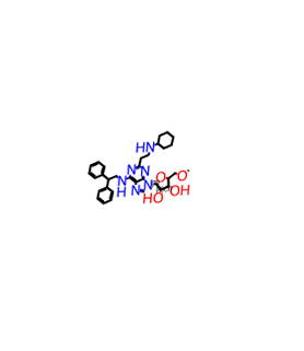 COCC1O[C@@H](n2cnc3c(NCC(c4ccccc4)c4ccccc4)nc(CCNC4CCCCC4)nc32)[C@H](O)[C@@H]1O